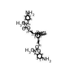 CN(Cc1ccc(N)cc1)C(=O)OCC#Cc1cccc(C#CCOC(=O)N(C)Cc2ccc(N)cc2)n1.Cl.Cl.Cl